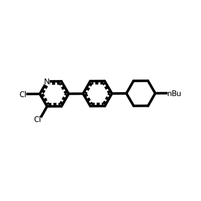 CCCCC1CCC(c2ccc(-c3cnc(Cl)c(Cl)c3)cc2)CC1